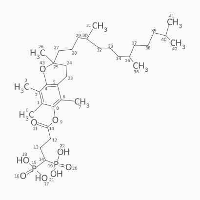 Cc1c(C)c2c(c(C)c1OC(=O)CCC(P(=O)(O)O)P(=O)(O)O)CCC(C)(CCCC(C)CCCC(C)CCCC(C)C)O2